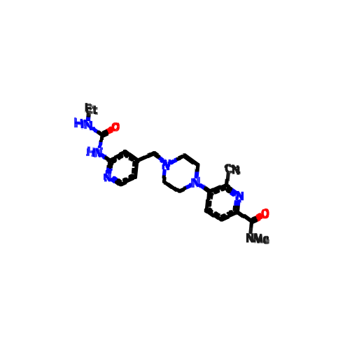 CCNC(=O)Nc1cc(CN2CCN(c3ccc(C(=O)NC)nc3C#N)CC2)ccn1